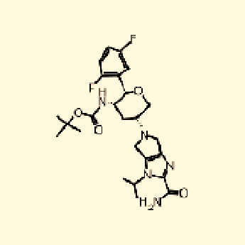 CC(C)n1c(C(N)=O)nc2c1CN([C@H]1CO[C@H](c3cc(F)ccc3F)[C@@H](NC(=O)OC(C)(C)C)C1)C2